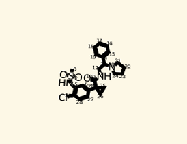 CS(=O)(=O)Nc1cc(C2(C(=O)NCC(c3ccccc3)N3CCCC3)CC2)ccc1Cl